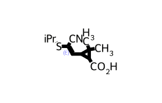 CC(C)S/C(C#N)=C/C1C(C(=O)O)C1(C)C